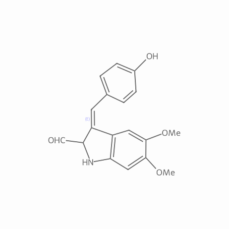 COc1cc2c(cc1OC)/C(=C\c1ccc(O)cc1)C(C=O)N2